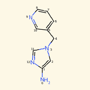 Nc1cn(Cc2cccnc2)cn1